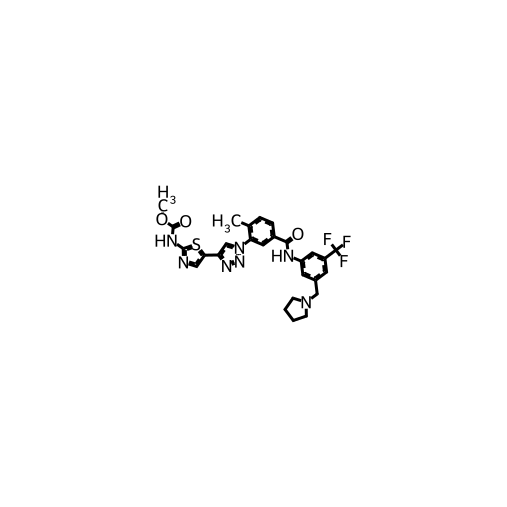 COC(=O)Nc1ncc(-c2cn(-c3cc(C(=O)Nc4cc(CN5CCCC5)cc(C(F)(F)F)c4)ccc3C)nn2)s1